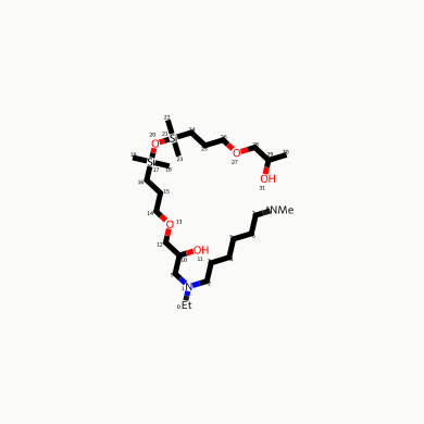 CCN(CCCCCCNC)CC(O)COCCC[Si](C)(C)O[Si](C)(C)CCCOCC(C)O